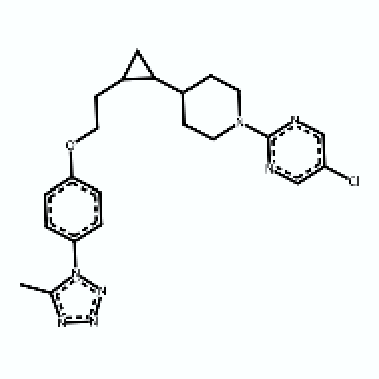 Cc1nnnn1-c1ccc(OCCC2CC2C2CCN(c3ncc(Cl)cn3)CC2)cc1